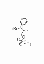 CCC(C)N(C(=O)COS(C)(=O)=O)c1ccccc1